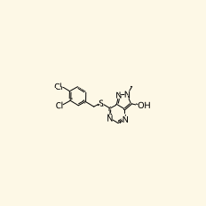 Cn1nc2c(SCc3ccc(Cl)c(Cl)c3)ncnc2c1O